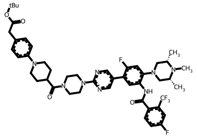 C[C@@H]1CN(c2cc(F)c(-c3cnc(N4CCN(C(=O)C5CCN(c6ccc(CC(=O)OC(C)(C)C)cc6)CC5)CC4)nc3)cc2NC(=O)c2ccc(F)cc2C(F)(F)F)C[C@H](C)N1C